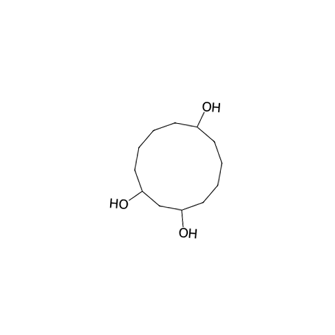 OC1CCCCC(O)CC(O)CCCC1